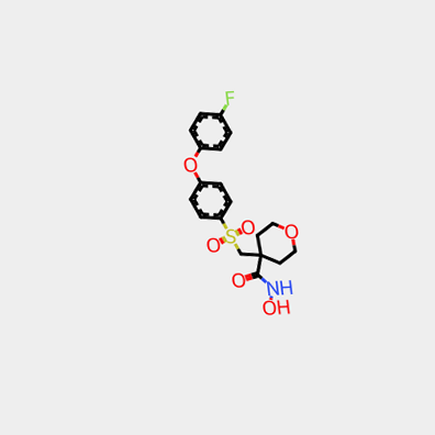 O=C(NO)C1(CS(=O)(=O)c2ccc(Oc3ccc(F)cc3)cc2)CCOCC1